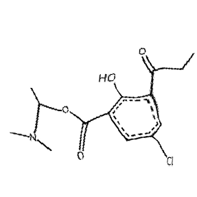 CCC(=O)c1cc(Cl)cc(C(=O)OC(C)N(C)C)c1O